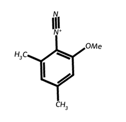 COc1cc(C)cc(C)c1[N+]#N